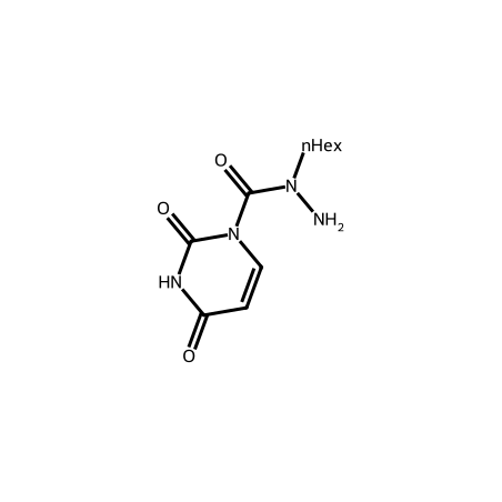 CCCCCCN(N)C(=O)n1ccc(=O)[nH]c1=O